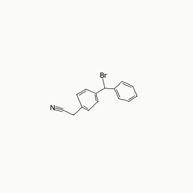 N#CCc1ccc(C(Br)c2ccccc2)cc1